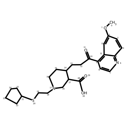 COc1ccc2nccc(C(=O)CCC3CCN(CCSC4CCCC4)CC3C(=O)O)c2c1